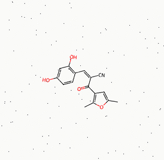 Cc1cc(C(=O)C(C#N)=Cc2ccc(O)cc2O)c(C)o1